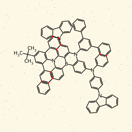 CC(C)(C)c1cc(-c2ccccc2)c(N2c3cc(-c4ccccc4)ccc3B3c4ccc(N(c5ccccc5)c5ccc(-n6c7ccccc7c7ccccc76)cc5)cc4N(c4cc(-c5ccccc5)cc(-c5ccccc5)c4)c4cc(-n5c6ccccc6c6ccccc65)cc2c43)c(-c2ccccc2)c1